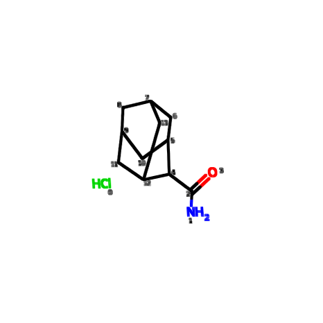 Cl.NC(=O)C1C2CC3CC(C2)CC1C3